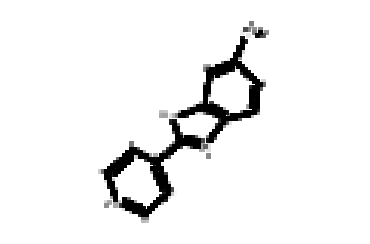 COc1ccc2nc(-c3ccncc3)oc2c1